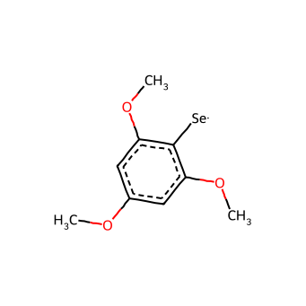 COc1cc(OC)c([Se])c(OC)c1